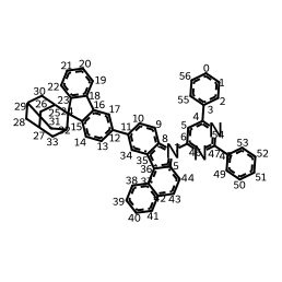 c1ccc(-c2cc(-n3c4ccc(-c5ccc6c(c5)-c5ccccc5C65C6CC7CC(C6)CC5C7)cc4c4c5ccccc5ccc43)nc(-c3ccccc3)n2)cc1